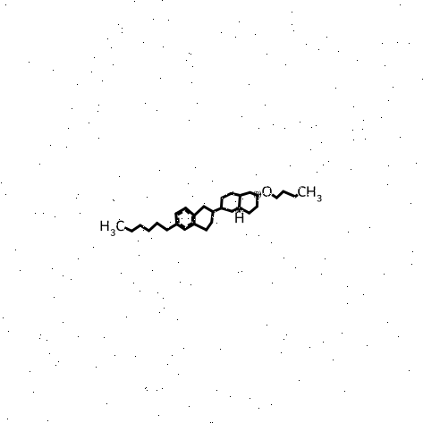 CCCCCCc1ccc2c(c1)CCC(C1CCC3C[C@H](OCCCC)CC[C@@H]3C1)C2